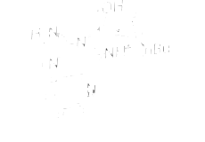 CCCC[C@@H]1C[C@]1(CO)Nc1nc(N)nc2cccnc12